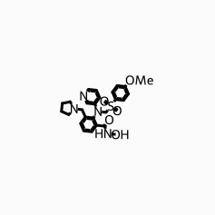 COc1ccc(S(=O)(=O)CN(c2cccnc2)c2c(CN3CCCC3)cccc2C(=O)NO)cc1